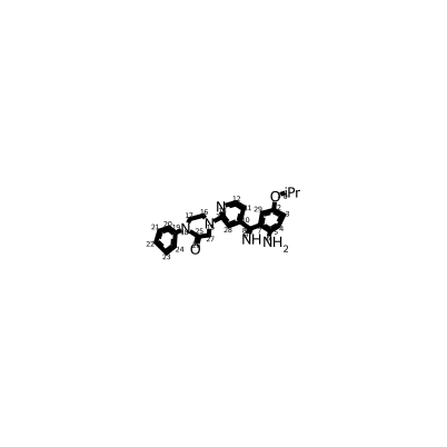 CC(C)Oc1ccc(N)c(C(=N)c2ccnc(N3CCN(c4ccccc4)C(=O)C3)c2)c1